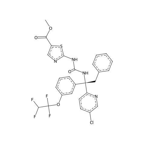 COC(=O)c1cnc(NC(=O)N[C@@](Cc2ccccc2)(c2cccc(OC(F)(F)C(F)F)c2)c2ccc(Cl)cn2)s1